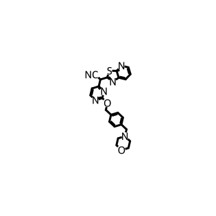 N#CC(c1ccnc(OCc2ccc(CN3CCOCC3)cc2)n1)c1nc2cccnc2s1